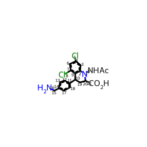 CC(=O)NN1c2cc(Cl)cc(Cl)c2C(c2ccc(CN)cc2)CC1C(=O)O